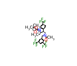 CC[C@@H]1[C@H](CN(Cc2cc(C(F)(F)F)cc(C(F)(F)F)c2)C(C)=O)c2ccc(C(F)(F)F)cc2N1C(=O)OC(C)(C)C